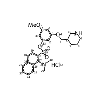 COc1cc(OCC2CCCNC2)cc(OS(=O)(=O)c2ccc3ccccc3c2N(C)C)c1.Cl